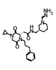 NN=CN1CCC[C@@H](CNC(=O)C[C@H]2C(=O)N(C3CC3)CC(=O)N2CCCc2ccccc2)C1